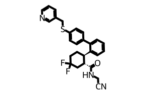 N#CCNC(=O)[C@@H]1CC(F)(F)CC[C@H]1c1ccccc1-c1ccc(SCc2cccnc2)cc1